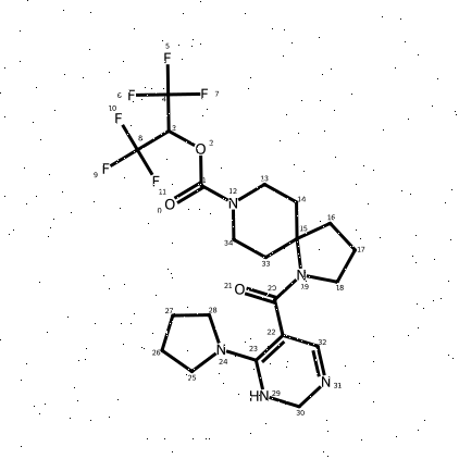 O=C(OC(C(F)(F)F)C(F)(F)F)N1CCC2(CCCN2C(=O)C2=C(N3CCCC3)NCN=C2)CC1